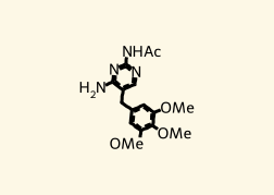 COc1cc(Cc2cnc(NC(C)=O)nc2N)cc(OC)c1OC